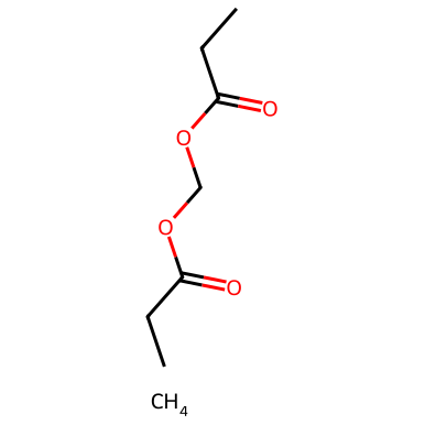 C.CCC(=O)OCOC(=O)CC